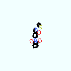 O=C1c2ccccc2C(=O)N1C1CCC2(CC1)CCN(c1cccs1)C2=O